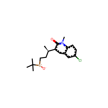 C[C@H](CC[S@@+]([O-])C(C)(C)C)c1cc2cc(Cl)ccc2n(C)c1=O